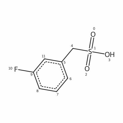 O=S(=O)(O)Cc1cccc(F)c1